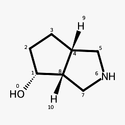 O[C@@H]1CC[C@@H]2CNC[C@@H]21